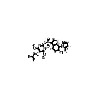 COc1nc(NS(=O)(=O)c2c[nH]c3c(-n4nccc4C)c(Cl)ccc23)nc(OC)c1OCC(F)F